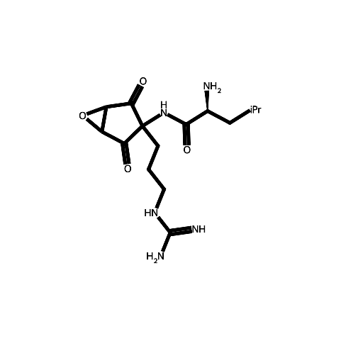 CC(C)C[C@H](N)C(=O)NC1(CCCNC(=N)N)C(=O)C2OC2C1=O